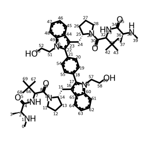 CN[C@@H](C)C(=O)NC(C(=O)N1CCC[C@H]1Cc1c(-c2ccc(-c3c(C[C@@H]4CCCN4C(=O)C(NC(=O)[C@H](C)NC)C(C)(C)C)c4ccccc4n3CCO)cc2)n(CCO)c2ccccc12)C(C)(C)C